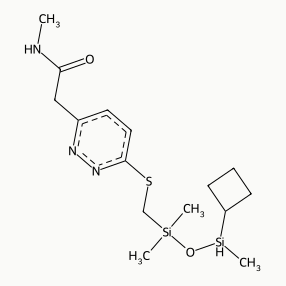 CNC(=O)Cc1ccc(SC[Si](C)(C)O[SiH](C)C2CCC2)nn1